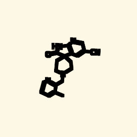 Cc1cccnc1CN1CCC2(CC1)C(=O)Nc1ncc(C#N)cc12